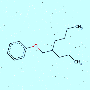 CCCCC([CH]Oc1ccccc1)CCC